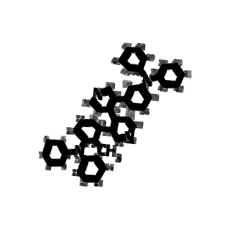 CC1C(N(c2ccccc2)c2ccccc2)=CC=CC1c1cnccc1-c1ccncc1-c1cccc(N(c2ccccc2)c2ccccc2)c1